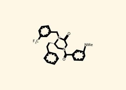 CNc1cccc(C(=O)N2CC(=O)N(Cc3cccc(C(F)(F)F)c3)[C@@H](CCc3ccccc3)C2)c1